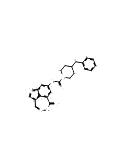 O=C1NN=Cc2c[nH]c3cc(NC(=O)N4CCC(Cc5ccccc5)CC4)cc1c23